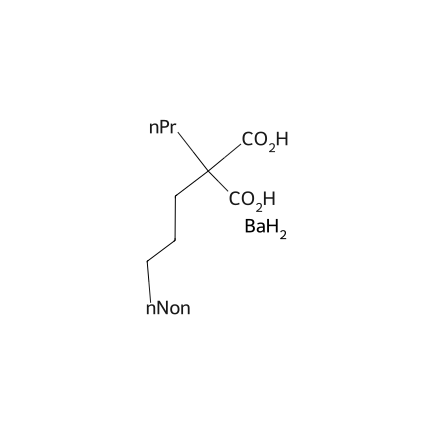 CCCCCCCCCCCCC(CCC)(C(=O)O)C(=O)O.[BaH2]